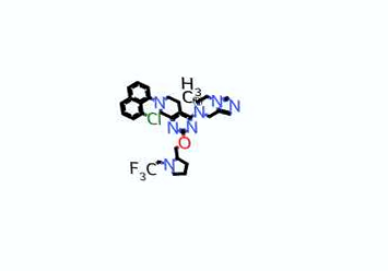 C[C@@H]1Cn2cncc2CN1c1nc(OCC2CCCN2CC(F)(F)F)nc2c1CCN(c1cccc3cccc(Cl)c13)C2